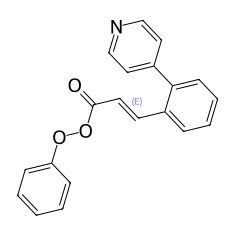 O=C(/C=C/c1ccccc1-c1ccncc1)OOc1ccccc1